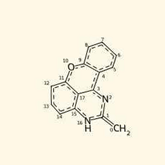 C=c1nc2c3ccccc3oc3cccc([nH]1)c3-2